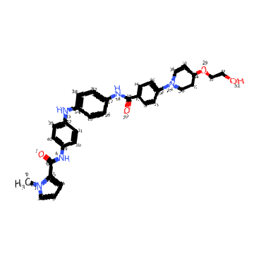 Cn1cccc1C(=O)Nc1ccc(Nc2ccc(NC(=O)c3ccc(N4CCC(OCCO)CC4)cc3)cc2)cc1